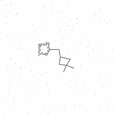 CC1(C)CC(Cc2cscn2)C1